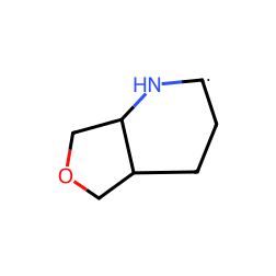 [CH]1CCC2COCC2N1